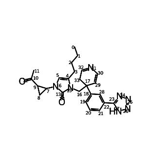 CCCCc1cn(C2CC2C(C)=O)c(=O)n1CC1(c2cccc(-c3nnn[nH]3)c2)C=CN=CC1